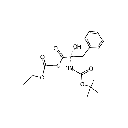 CCOC(=O)OC(=O)[C@@](O)(Cc1ccccc1)NC(=O)OC(C)(C)C